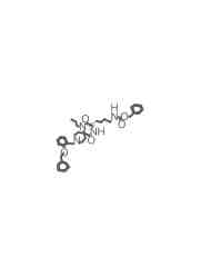 CCCN1C(=O)[C@H](CCCCNC(=O)OCc2ccccc2)NC(=O)C12CCN(Cc1ccccc1OCc1ccccc1)CC2